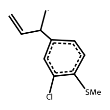 [CH2]C(C=C)c1ccc(SC)c(Cl)c1